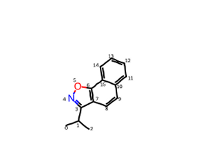 CC(C)c1noc2c1ccc1ccccc12